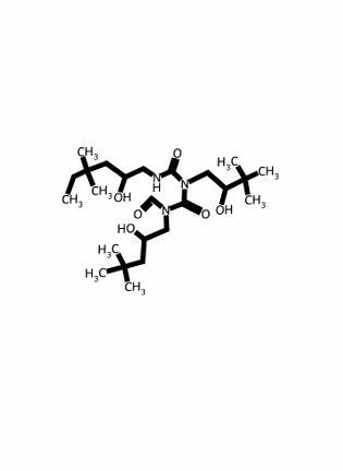 CCC(C)(C)CC(O)CNC(=O)N(CC(O)C(C)(C)C)C(=O)N(C=O)CC(O)CC(C)(C)C